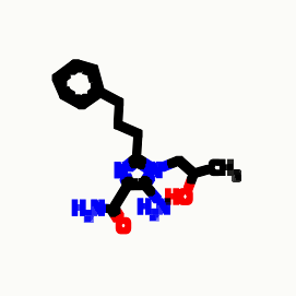 CC(O)Cn1c(CCCc2ccccc2)nc(C(N)=O)c1N